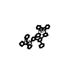 c1ccc(-c2cc(-c3cccc(-n4c5ccccc5c5c6ccccc6n(-c6ccccc6)c54)c3)cc(-c3cccc(-n4c5ccccc5c5c6ccccc6n(-c6ccccc6)c54)c3)c2)cc1